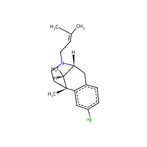 CC(C)=CCN1CC[C@@]2(C)c3cc([18F])ccc3C[C@@H]1[C@H]2C